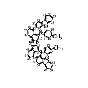 Cc1ccc(N(c2cc3c4cc(N(c5ccc(C)cc5)c5cccc6c5oc5ccccc56)c5ccccc5c4sc3c3ccccc23)c2cccc3c2oc2ccccc23)cc1